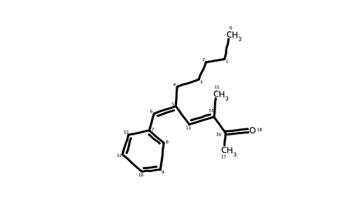 CCCCCC(=Cc1ccccc1)C=C(C)C(C)=O